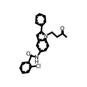 CC(=O)CCn1c(-c2ccccc2)cc2cc(NC(=O)c3ccccc3Cl)ccc21